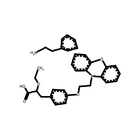 CCOC(Cc1ccc(OCCN2c3ccccc3Oc3ccccc32)cc1)C(=O)O.NCCc1ccccc1